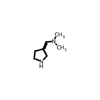 CN(C)C=C1CCNC1